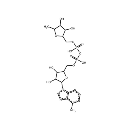 CC1OC(COP(=O)(O)OP(=O)(O)OCC2OC(n3nnc4c(N)ncnc43)C(O)C2O)C(O)C1O